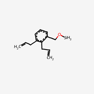 C=CCc1cccc(CO[SiH3])c1CC=C